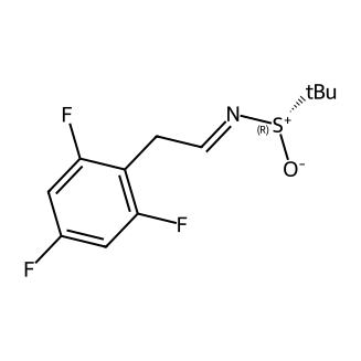 CC(C)(C)[S@+]([O-])N=CCc1c(F)cc(F)cc1F